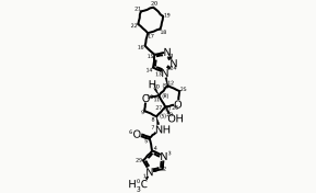 Cn1cnc(C(=O)N[C@H]2CO[C@@H]3[C@@H](n4cc(CC5CCCCC5)nn4)CO[C@]23O)c1